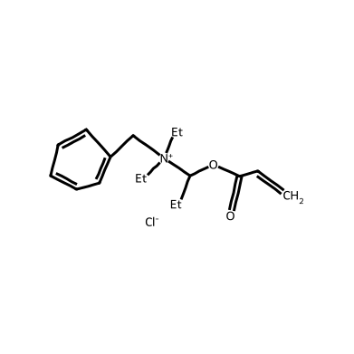 C=CC(=O)OC(CC)[N+](CC)(CC)Cc1ccccc1.[Cl-]